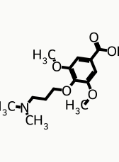 COc1cc(C(=O)O)cc(OC)c1OCCCN(C)C